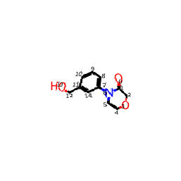 O=C1COCCN1c1cccc(CO)c1